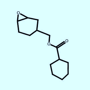 O=C(OCC1CCC2OC2C1)C1CCCCC1